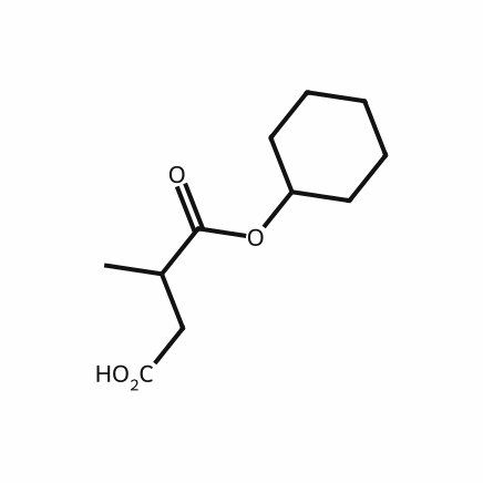 CC(CC(=O)O)C(=O)OC1CCCCC1